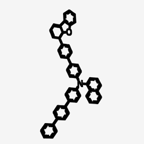 C1=CC(c2ccc(-c3ccc(N(c4ccc(-c5ccc(-c6ccccc6)cc5)cc4)c4cccc5ccccc45)cc3)cc2)C2Oc3ccccc3C2=C1